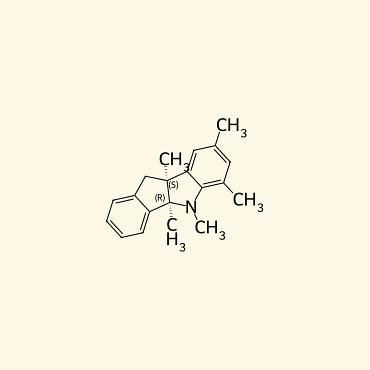 Cc1cc(C)c2c(c1)[C@]1(C)Cc3ccccc3[C@]1(C)N2C